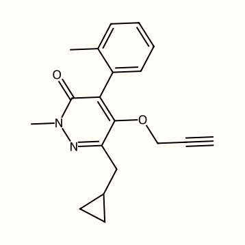 C#CCOc1c(CC2CC2)nn(C)c(=O)c1-c1ccccc1C